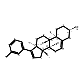 Cc1cccc(C2=CC[C@H]3[C@@H]4CC=C5C[C@@H](O)CC[C@]5(C)[C@H]4CC[C@]23C)c1